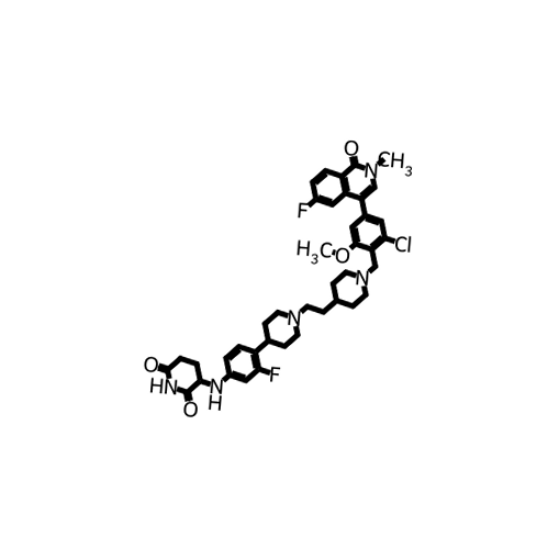 COc1cc(-c2cn(C)c(=O)c3ccc(F)cc23)cc(Cl)c1CN1CCC(CCN2CCC(c3ccc(NC4CCC(=O)NC4=O)cc3F)CC2)CC1